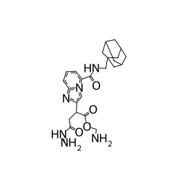 NCOC(=O)C(CC(=O)NN)c1cn2c(C(=O)NCC34CC5CC(CC(C5)C3)C4)cccc2n1